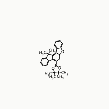 CC1(C)c2ccccc2-c2c(B3OC(C)(C)C(C)(C)O3)cc3oc4ccccc4c3c21